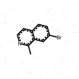 Cc1nccc2ccc(Br)cc12